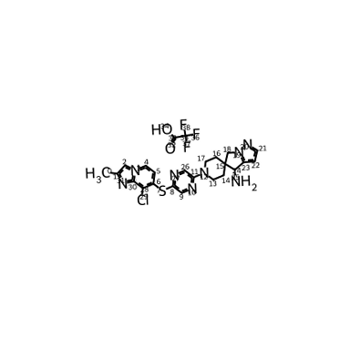 Cc1cn2ccc(Sc3cnc(N4CCC5(CC4)Cn4nccc4[C@H]5N)cn3)c(Cl)c2n1.O=C(O)C(F)(F)F